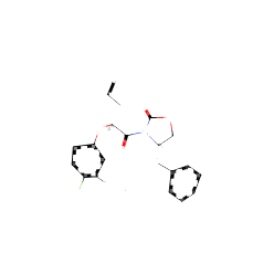 C=CC[C@@H](Oc1ccc(F)c(C)c1)C(=O)N1C(=O)OC[C@@H]1Cc1ccccc1